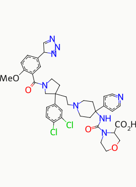 COc1ccc(C2C=NN=N2)cc1C(=O)N1CCC(CCN2CCC(NC(=O)N3CCOCC3C(=O)O)(c3ccncc3)CC2)(c2ccc(Cl)c(Cl)c2)C1